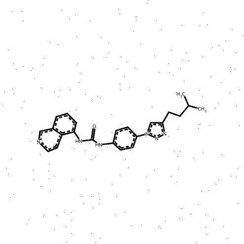 CC(C)CCc1cn(-c2ccc(NC(=O)Nc3cccc4cnccc34)cc2)nn1